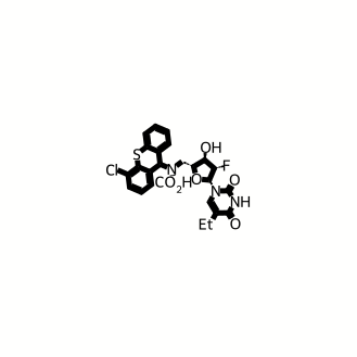 CCc1cn([C@@H]2O[C@H](CN(C(=O)O)C3c4ccccc4Sc4c(Cl)cccc43)[C@@H](O)[C@@H]2F)c(=O)[nH]c1=O